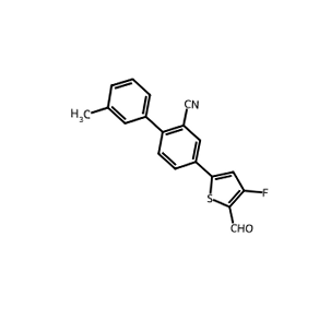 Cc1cccc(-c2ccc(-c3cc(F)c(C=O)s3)cc2C#N)c1